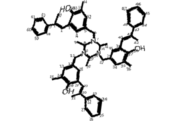 CC(=Cc1cc(CN2C(C)N(Cc3cc(C)c(O)c(C=C(C)c4ccccc4)c3)C(C)N(Cc3cc(C)c(O)c(C=C(C)c4ccccc4)c3)C2C)cc(C)c1O)c1ccccc1